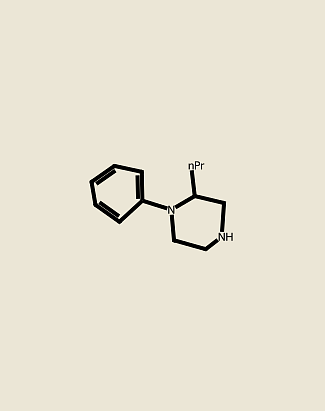 CCCC1CNCCN1c1ccccc1